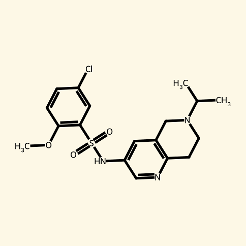 COc1ccc(Cl)cc1S(=O)(=O)Nc1cnc2c(c1)CN(C(C)C)CC2